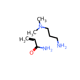 C=CC(N)=O.CN(C)CCCN